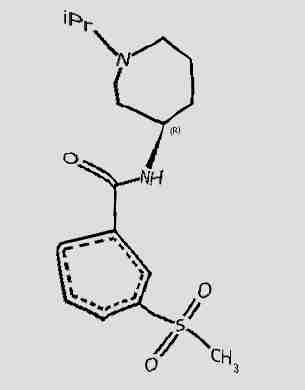 CC(C)N1CCC[C@@H](NC(=O)c2cccc(S(C)(=O)=O)c2)C1